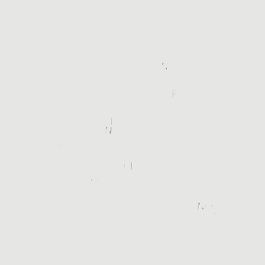 CC(C)(C)[S@@+]([O-])N[C@@](C)(CCC1(C#N)CCC1)c1cc([N+](=O)[O-])ccc1F